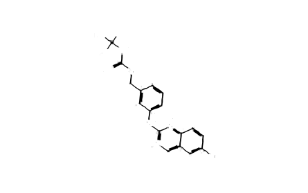 CC(C)(C)OC(=O)NCc1cccc(Nc2ncc3cc(Br)ccc3n2)c1